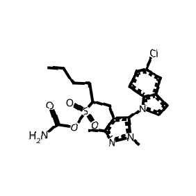 CCCCC(Cc1c(C)nn(C)c1-n1ccc2cc(Cl)ccc21)S(=O)(=O)OC(N)=O